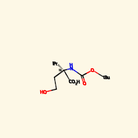 CC(C)[C@](CCO)(NC(=O)OC(C)(C)C)C(=O)O